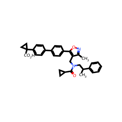 Cc1noc(-c2ccc(-c3ccc(C4(C(=O)O)CC4)cc3)cc2)c1CN(CC(C)c1ccccc1)C(=O)C1CC1